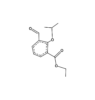 CCOC(=O)c1cccc(C=O)c1OC(C)C